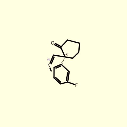 C/N=C\[C@]1(c2cccc(F)c2)CCCCC1=O